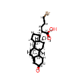 C[C@]12CC[C@H]3[C@@H](CCC4=CC(=O)CC[C@@]43C)[C@@H]1CC[C@@H]2C(CCCBr)C(=O)O